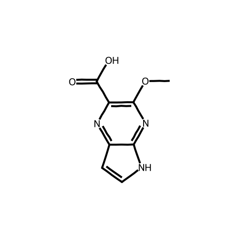 COc1nc2[nH]ccc2nc1C(=O)O